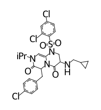 CC(C)N1C=C2N(C(=O)C(NCC3CC3)CN2S(=O)(=O)c2ccc(Cl)cc2Cl)C(Cc2ccc(Cl)cc2)C1=O